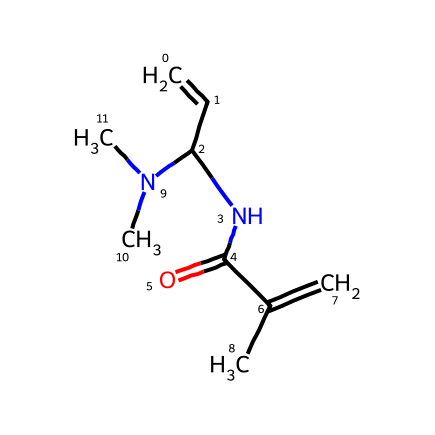 C=CC(NC(=O)C(=C)C)N(C)C